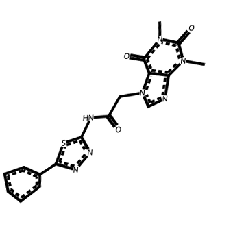 Cn1c(=O)c2c(ncn2CC(=O)Nc2nnc(-c3ccccc3)s2)n(C)c1=O